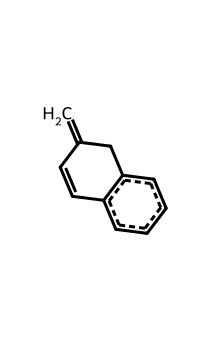 C=C1C=Cc2ccccc2C1